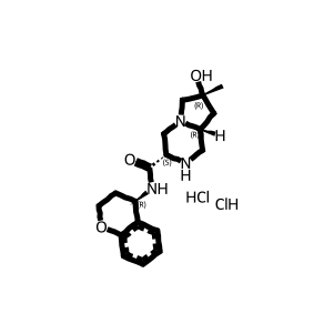 C[C@@]1(O)C[C@@H]2CN[C@H](C(=O)N[C@@H]3CCOc4ccccc43)CN2C1.Cl.Cl